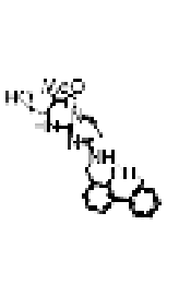 COC(=O)[C@H](CO)Nc1ncnc(NCc2cccc(-c3ccccc3)c2C)n1